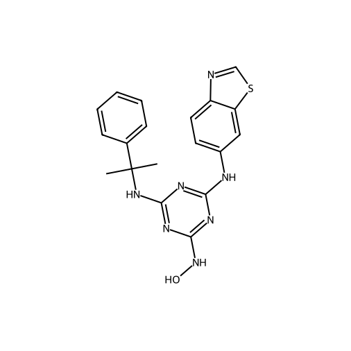 CC(C)(Nc1nc(NO)nc(Nc2ccc3ncsc3c2)n1)c1ccccc1